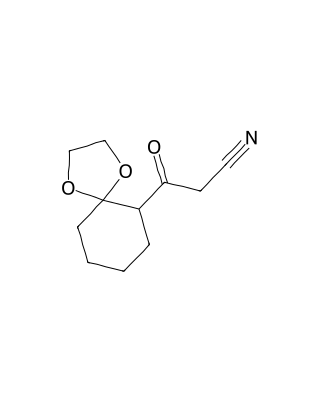 N#CCC(=O)C1CCCCC12OCCO2